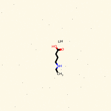 CCNCCCC(=O)O.[LiH]